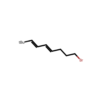 CC(C)(C)C=CC=CCCCBr